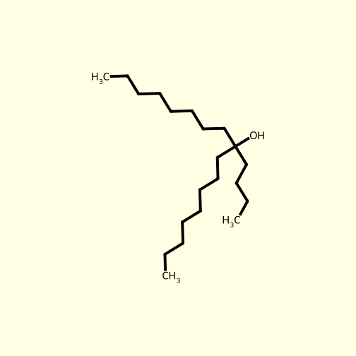 CCCCCCCCC(O)(CCCC)CCCCCCCC